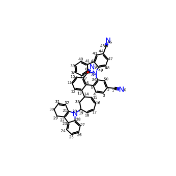 N#Cc1ccc(-c2c(C#N)cccc2C2C=CC=CC(n3c4c(c5ccccc53)CCC=C4)C2)c(-n2c3ccccc3c3cc(C#N)ccc32)c1